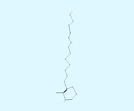 CC1=C(CCCCCCCCCCCCCO)CCCC1C=O